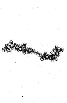 CC[C@@]1(O)C(=O)OCc2c1cc1n(c2=O)Cc2cc3c(CN(C)C)c(OC(=O)N4CCN(CCCCCCNC(=O)c5ccc(N6C(=S)N(c7ccc(C#N)c(C(F)(F)F)c7)C(=O)C6(C)C)cc5F)CC4)ccc3nc2-1